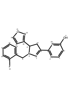 Oc1ccnc(C2=NN(Cc3ccccc3F)C(c3ccon3)C2)n1